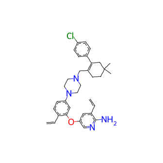 C=Cc1ccc(N2CCN(CC3=C(c4ccc(Cl)cc4)CC(C)(C)CC3)CC2)cc1Oc1cnc(N)c(C=C)c1